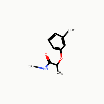 CC(Oc1cccc(C=O)c1)C(=O)NC(C)(C)C